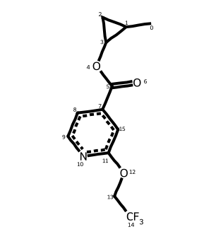 CC1CC1OC(=O)c1ccnc(OCC(F)(F)F)c1